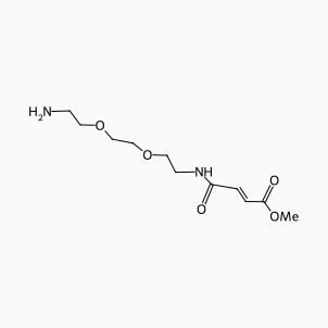 COC(=O)/C=C/C(=O)NCCOCCOCCN